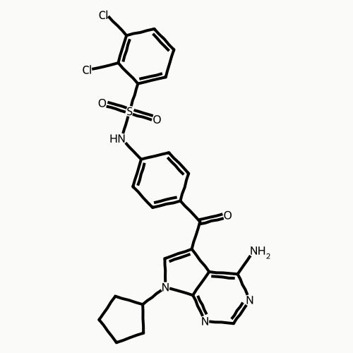 Nc1ncnc2c1c(C(=O)c1ccc(NS(=O)(=O)c3cccc(Cl)c3Cl)cc1)cn2C1CCCC1